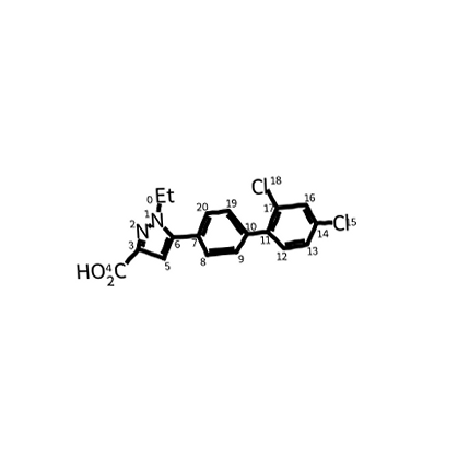 CCn1nc(C(=O)O)cc1-c1ccc(-c2ccc(Cl)cc2Cl)cc1